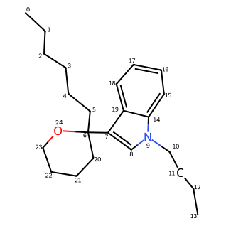 CCCCCCC1(c2cn(CCCC)c3ccccc23)CCCCO1